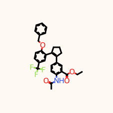 CCOC(=O)c1cc(C2=C(c3cc(C(F)(F)F)ccc3OCc3ccccc3)CCC2)ccc1NC(C)=O